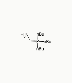 CCCCP(=CN)(CCCC)CCCC